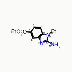 CCOC(=O)c1ccc2c(c1)nc(N)n2CC